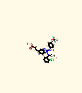 CC(c1ccccc1Cl)n1c(Nc2ccc(OC(F)(F)F)cc2)nc2cc(CCC(=O)O)ccc21